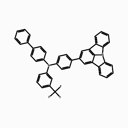 FC(F)(F)c1cccc(N(c2ccc(-c3ccccc3)cc2)c2ccc(-c3cc4c5ccccc5n5c6ccccc6c(c3)c45)cc2)c1